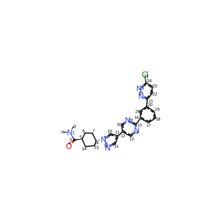 CN(C)C(=O)[C@H]1CC[C@H](n2cc(-c3cnc(-c4cccc(-c5ccc(Cl)nn5)c4)nc3)cn2)CC1